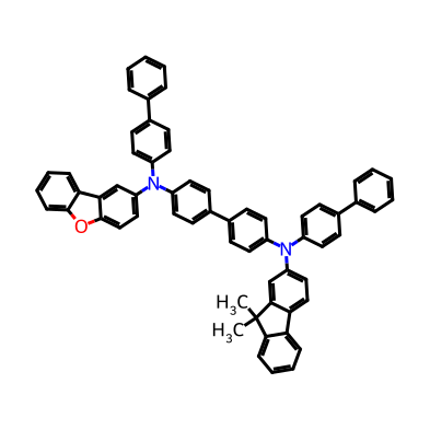 CC1(C)c2ccccc2-c2ccc(N(c3ccc(-c4ccccc4)cc3)c3ccc(-c4ccc(N(c5ccc(-c6ccccc6)cc5)c5ccc6oc7ccccc7c6c5)cc4)cc3)cc21